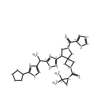 CC(c1csc(C2CCCC2)n1)c1nc(C2CN(C(=O)c3cncs3)CC23CN(C(=O)[C@H]2CC2(C)C)C3)no1